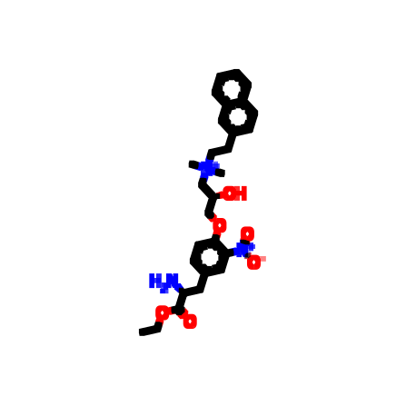 CCOC(=O)[C@@H](N)Cc1ccc(OC[C@H](O)C[N+](C)(C)CCc2ccc3ccccc3c2)c([N+](=O)[O-])c1